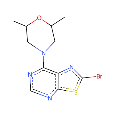 CC1CN(c2ncnc3sc(Br)nc23)CC(C)O1